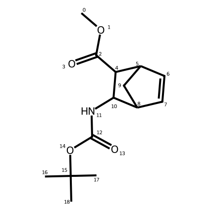 COC(=O)C1C2C=CC(C2)C1NC(=O)OC(C)(C)C